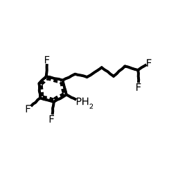 Fc1cc(F)c(CCCCCC(F)F)c(P)c1F